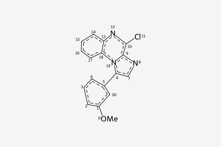 COc1cccc(-c2cnc3c(Cl)nc4ccccc4n23)c1